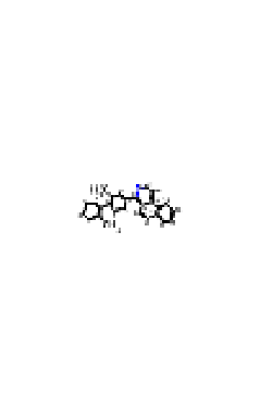 Cc1ccccc1-c1ccc(-c2nccc3c2ccc2ccccc23)cc1C